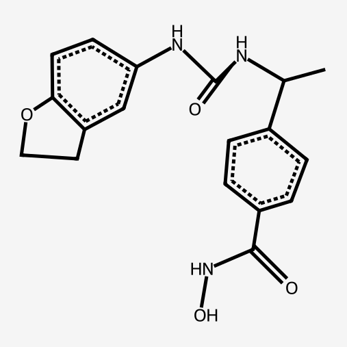 CC(NC(=O)Nc1ccc2c(c1)CCO2)c1ccc(C(=O)NO)cc1